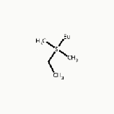 CC[Si](C)(C)[Eu]